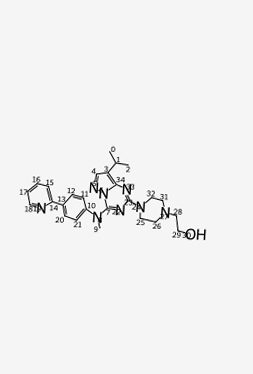 CC(C)c1cnn2c(N(C)c3ccc(-c4ccccn4)cc3)nc(N3CCN(CCO)CC3)nc12